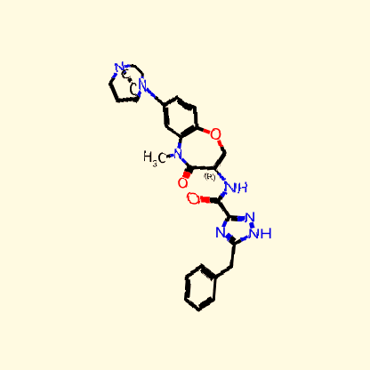 CN1C(=O)[C@H](NC(=O)c2n[nH]c(Cc3ccccc3)n2)COc2ccc(N3CCN4CCC3CC4)cc21